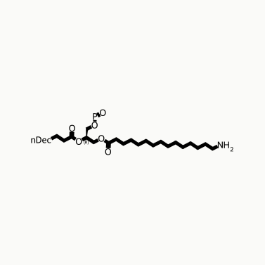 CCCCCCCCCCCCC(=O)O[C@@H](COP=O)COC(=O)CCCCCCCCCCCCCCN